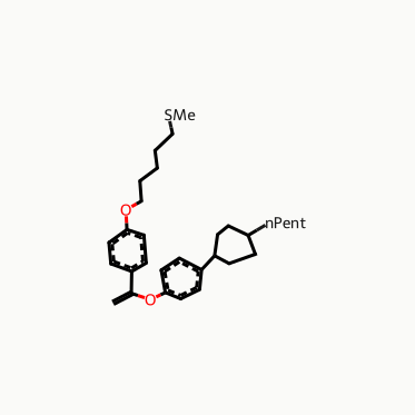 C=C(Oc1ccc(C2CCC(CCCCC)CC2)cc1)c1ccc(OCCCCCSC)cc1